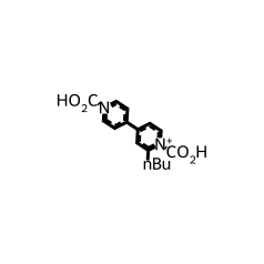 CCCCc1cc(-c2cc[n+](C(=O)O)cc2)cc[n+]1C(=O)O